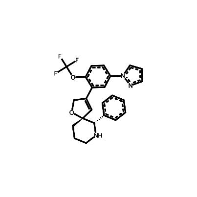 FC(F)(F)Oc1ccc(-n2cccn2)cc1C1=C[C@@]2(CCCN[C@H]2c2ccccc2)OC1